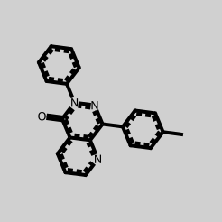 Cc1ccc(-c2nn(-c3ccccc3)c(=O)c3cccnc23)cc1